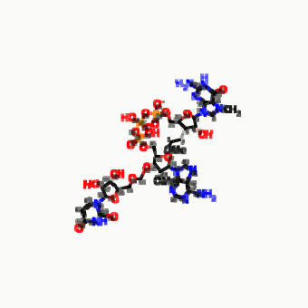 COCC[C@H]1[C@@H](O)[C@H](n2c[n+](C)c3c(=O)[nH]c(N)nc32)O[C@@H]1COP(=O)([O-])OP(=O)(O)OP(=O)(O)OC[C@H]1O[C@@H](n2cnc3c(N)ncnc32)[C@H](OC)[C@@H]1OCOC[C@H]1O[C@@H](n2ccc(=O)[nH]c2=O)[C@H](O)[C@@H]1O